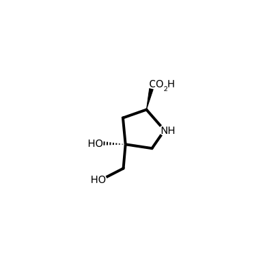 O=C(O)[C@@H]1C[C@](O)(CO)CN1